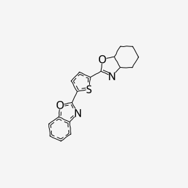 c1ccc2oc(-c3ccc(C4=NC5CCCCC5O4)s3)nc2c1